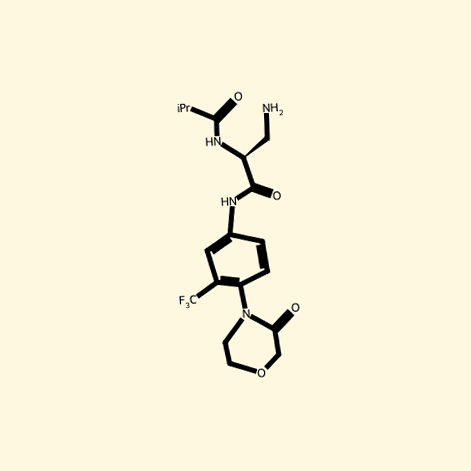 CC(C)C(=O)N[C@@H](CN)C(=O)Nc1ccc(N2CCOCC2=O)c(C(F)(F)F)c1